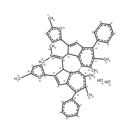 Cc1ccc(C2=Cc3c(cc(C)c(C)c3-c3ccccc3)[CH]2[Zr]([CH]2C(c3ccc(C)o3)=Cc3c2cc(C)c(C)c3-c2ccccc2)=[Si](C)C)o1.Cl.Cl